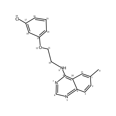 Cc1ccc2ncnc(NCCOc3cccc(Cl)c3)c2c1